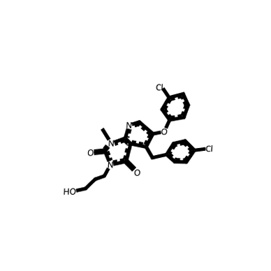 Cn1c(=O)n(CCCO)c(=O)c2c(Cc3ccc(Cl)cc3)c(Oc3cccc(Cl)c3)cnc21